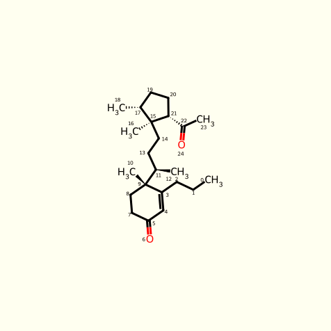 CCCC1=CC(=O)CC[C@]1(C)[C@H](C)CC[C@@]1(C)[C@H](C)CC[C@@H]1C(C)=O